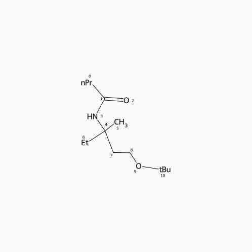 CCCC(=O)NC(C)(CC)CCOC(C)(C)C